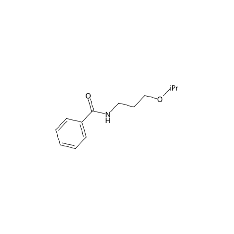 CC(C)OCCCNC(=O)c1ccccc1